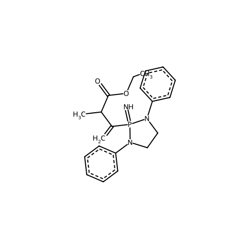 C=C(C(C)C(=O)OCC)P1(=N)N(c2ccccc2)CCN1c1ccccc1